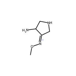 CO/N=C1/CNCC1N